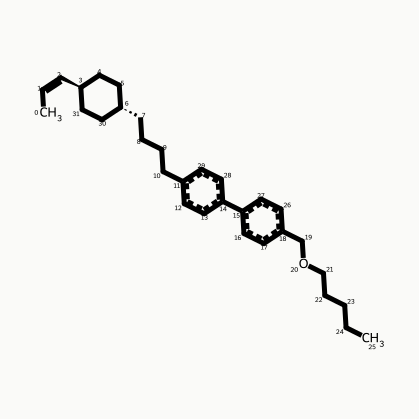 C/C=C\[C@H]1CC[C@H](CCCCc2ccc(-c3ccc(COCCCCC)cc3)cc2)CC1